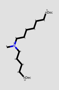 CCCCCCCCCCCCCCCCN(C)CCCCCCCCCCCCCC